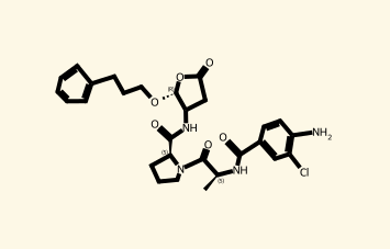 C[C@H](NC(=O)c1ccc(N)c(Cl)c1)C(=O)N1CCC[C@H]1C(=O)NC1CC(=O)O[C@H]1OCCCc1ccccc1